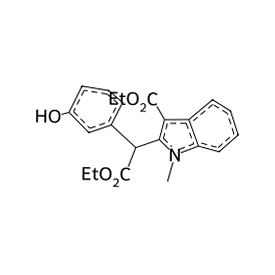 CCOC(=O)c1c(C(C(=O)OCC)c2cccc(O)c2)n(C)c2ccccc12